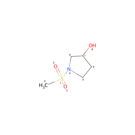 CS(=O)(=O)N1CCC(O)C1